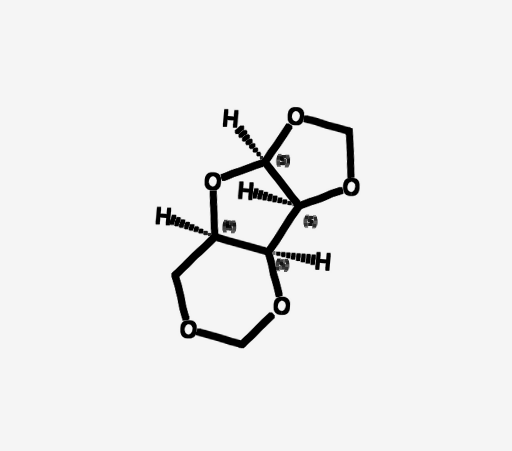 C1O[C@@H]2O[C@@H]3COCO[C@@H]3[C@@H]2O1